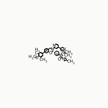 COc1c(C)cc(C23CCC(CN(c4cc(-c5cnn(C(C)(C)C)c5)ccn4)C(=O)[C@H]4CC[C@H](OC(=O)N5CC(C)C5)CC4)(CC2)CC3)cc1C